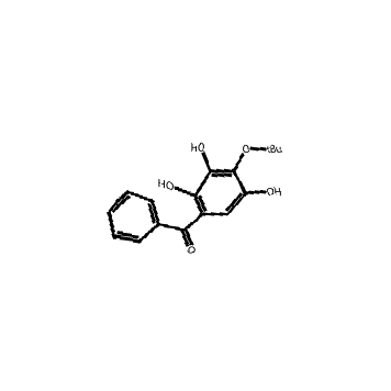 CC(C)(C)Oc1c(O)cc(C(=O)c2ccccc2)c(O)c1O